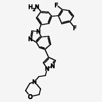 Nc1cc(-c2cc(F)ccc2F)cc(-n2cnc3cc(-c4cnn(CCN5CCOCC5)c4)ccc32)c1